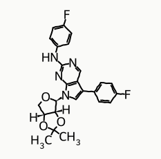 CC1(C)O[C@H]2[C@H](n3cc(-c4ccc(F)cc4)c4cnc(Nc5ccc(F)cc5)nc43)OC[C@H]2O1